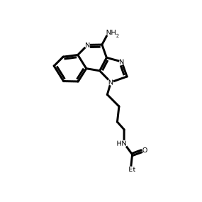 CCC(=O)NCCCCn1cnc2c(N)nc3ccccc3c21